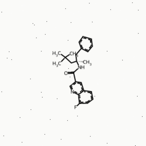 CC(C)(C)C[C@@](C)(Cc1ccccc1)NC(=O)c1cnc2c(F)cccc2c1